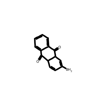 BC1=CC2C(=O)c3ccccc3C(=O)C2C=C1